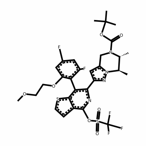 COCCOc1cc(F)cc(F)c1-c1c(-c2cc3n(n2)[C@H](C)[C@@H](C)N(C(=O)OC(C)(C)C)C3)nc(OS(=O)(=O)C(F)(F)F)c2ccsc12